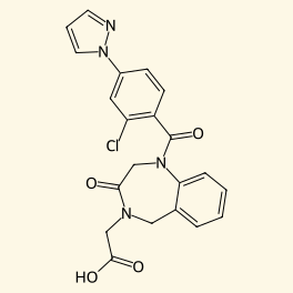 O=C(O)CN1Cc2ccccc2N(C(=O)c2ccc(-n3cccn3)cc2Cl)CC1=O